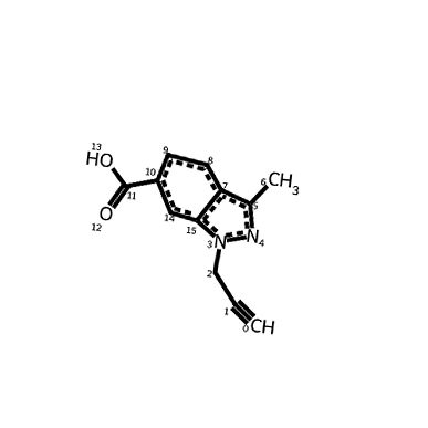 C#CCn1nc(C)c2ccc(C(=O)O)cc21